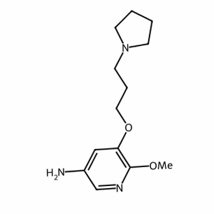 COc1ncc(N)cc1OCCCN1CCCC1